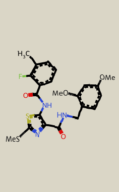 COc1ccc(CNC(=O)c2nc(SC)sc2NC(=O)c2cccc(C)c2F)c(OC)c1